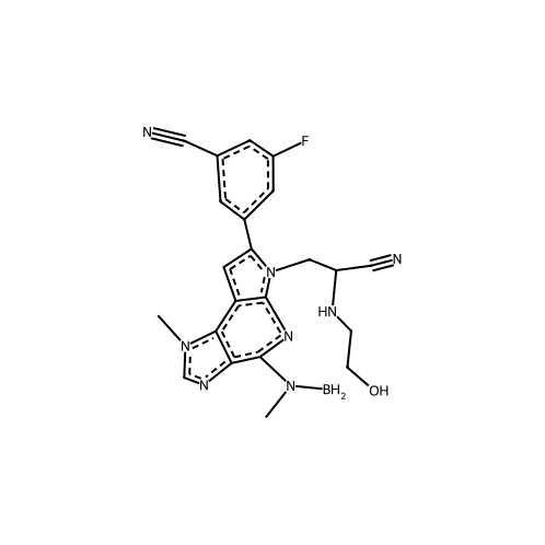 BN(C)c1nc2c(cc(-c3cc(F)cc(C#N)c3)n2CC(C#N)NCCO)c2c1ncn2C